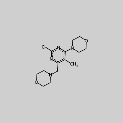 Cc1c(CN2CCOCC2)nc(Cl)nc1N1CCOCC1